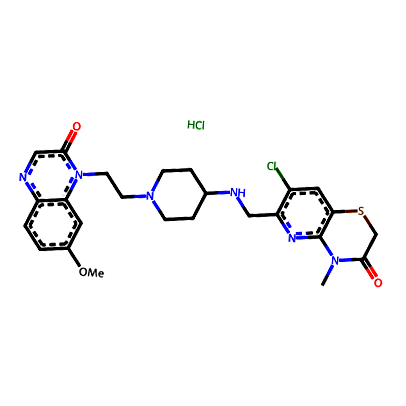 COc1ccc2ncc(=O)n(CCN3CCC(NCc4nc5c(cc4Cl)SCC(=O)N5C)CC3)c2c1.Cl